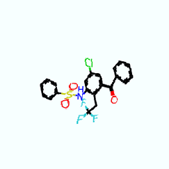 O=C(c1ccccc1)c1cc(Cl)cc(NS(=O)(=O)c2ccccc2)c1CC(F)(F)F